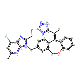 CCc1nc2c(Cl)cc(C)nc2n1Cc1ccc2c(c1)COc1ccccc1C2=C(C)c1nnn[nH]1